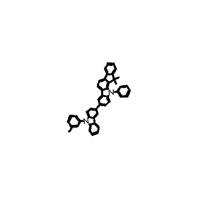 Cc1cccc(-n2c3ccccc3c3cc(-c4ccc5c(c4)c4ccc6c(c4n5-c4ccccc4)C(C)(C)c4ccccc4-6)ccc32)c1